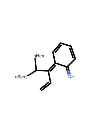 C=C/C(=C1/C=CC=CC1=N)C(CCCCC)CCCCCC